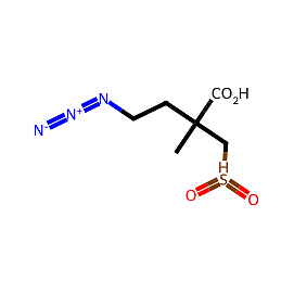 CC(CCN=[N+]=[N-])(C[SH](=O)=O)C(=O)O